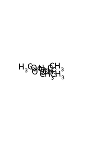 CCOC(=O)c1ccc(/C=C(\C)C=CC2=C(C)CCCC2(C)C)c(OC)c1